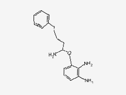 Nc1cccc(OC(N)CCCc2ccccc2)c1N